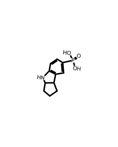 O=P(O)(O)c1ccc2c(c1)C1CCCC1N2